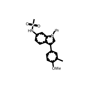 COc1ccc(-c2cn(C(C)C)c3cc(NS(C)(=O)=O)ccc23)cc1C